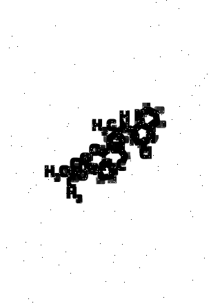 CCCCC(C)(CNC(=O)[C@@H]1CCCN1C(=O)OC(C)(C)C)Nc1nc(Cl)nc2cccnc12